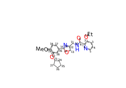 CCOc1cccnc1C(=O)NCc1coc(-c2ccc(OC)c(OC3CCCC3)c2)n1